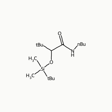 CCCCNC(=O)C(O[Si](C)(C)C(C)(C)C)C(C)(C)C